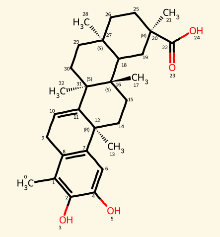 Cc1c(O)c(O)cc2c1CC=C1[C@@]2(C)CC[C@@]2(C)C3C[C@](C)(C(=O)O)CC[C@]3(C)CC[C@]12C